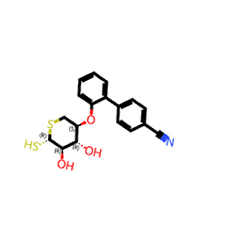 N#Cc1ccc(-c2ccccc2O[C@@H]2CS[C@@H](S)[C@H](O)[C@H]2O)cc1